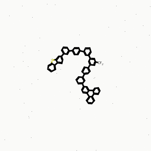 FC(F)(F)c1cc(-c2ccc(-c3cccc(-c4ccc5c6ccccc6c6ccccc6c5c4)c3)cc2)cc(-c2cccc(-c3ccc(-c4cccc(-c5ccc6c(c5)sc5ccccc56)c4)cc3)c2)c1